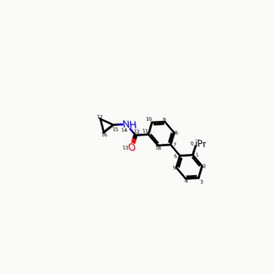 CC(C)c1ccccc1-c1cccc(C(=O)NC2CC2)c1